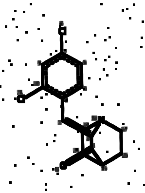 O=C1C(=Cc2ccc(Cl)cc2Cl)N2CCC1CC2